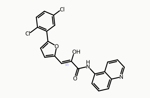 O=C(Nc1cccc2ncccc12)/C(O)=C/c1ccc(-c2cc(Cl)ccc2Cl)o1